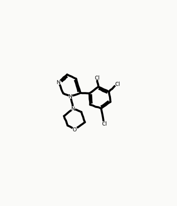 Clc1cc(Cl)c(Cl)c(C2=CC=NCN2N2CCOCC2)c1